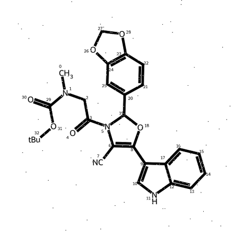 CN(CC(=O)N1C(C#N)=C(c2c[nH]c3ccccc23)OC1c1ccc2c(c1)OCO2)C(=O)OC(C)(C)C